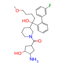 COCCCCC(O)(c1ccccc1-c1cccc(F)c1)C1CCCN(C(=O)C2CC(N)C(O)C2)C1